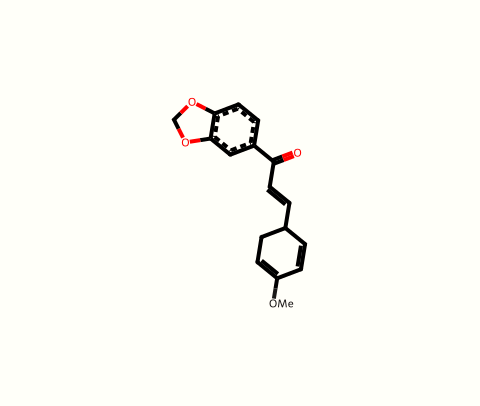 COC1=CCC(C=CC(=O)c2ccc3c(c2)OCO3)C=C1